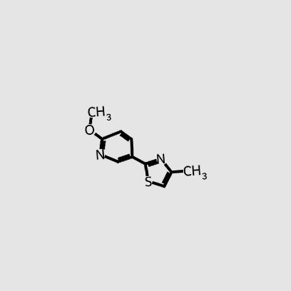 COc1ccc(-c2nc(C)cs2)cn1